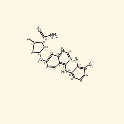 CN1C[C@@H](Oc2ccc3c(Nc4cccc(Cl)c4F)ncnc3c2)C[C@H]1C(N)=O